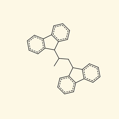 CC(CC1c2ccccc2-c2ccccc21)C1c2ccccc2-c2ccccc21